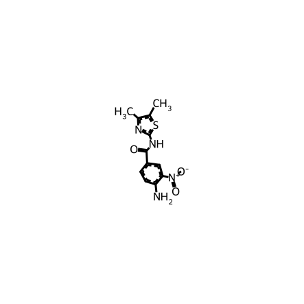 Cc1nc(NC(=O)c2ccc(N)c([N+](=O)[O-])c2)sc1C